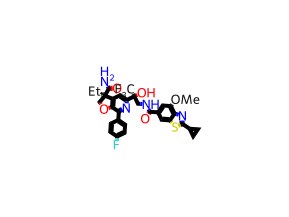 CC[C@]1(C(N)=O)COc2c1cc(C(O)(CNC(=O)c1cc(OC)c3nc(C4CC4)sc3c1)C(F)(F)F)nc2-c1ccc(F)cc1